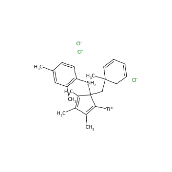 CC1=C(C)C(CC2(C)C=CC=CC2)([SiH2]c2ccc(C)cc2C)[C]([Ti+3])=C1C.[Cl-].[Cl-].[Cl-]